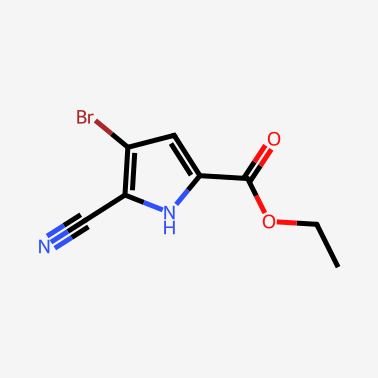 CCOC(=O)c1cc(Br)c(C#N)[nH]1